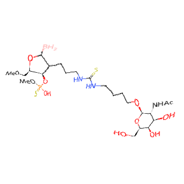 B[C@@H]1O[C@H](COC)[C@H](OP(O)(=S)OC)C1CCCNC(=S)NCCCCO[C@@H]1O[C@H](CO)[C@H](O)[C@H](O)[C@H]1NC(C)=O